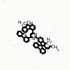 C=C/C=C\C1=C(C)c2ccc(-c3nc(-c4cccc5c4-c4ccccc4C5(C)C)cc(-c4cccc5c4sc4ccccc45)n3)cc2C12c1ccccc1-c1ccccc12